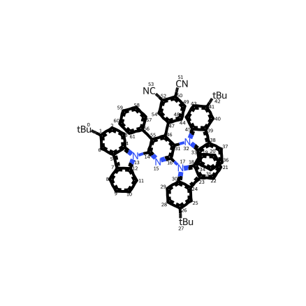 CC(C)(C)c1ccc2c(c1)c1ccccc1n2-c1nc(-n2c3ccccc3c3cc(C(C)(C)C)ccc32)c(-n2c3ccccc3c3cc(C(C)(C)C)ccc32)c(-c2ccc(C#N)c(C#N)c2)c1-c1ccccc1